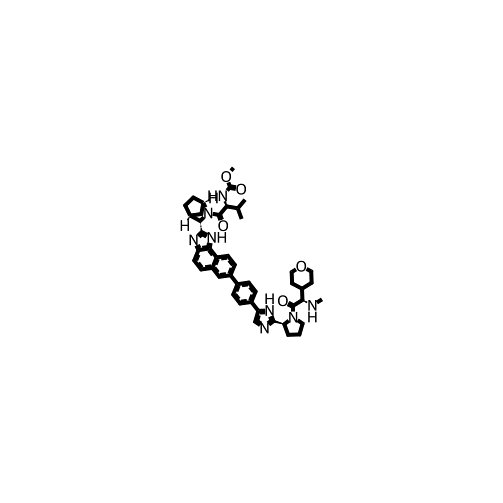 CN[C@H](C(=O)N1CCC[C@H]1c1ncc(-c2ccc(-c3ccc4c(ccc5nc([C@@H]6[C@H]7CC[C@H](C7)N6C(=O)[C@@H](NC(=O)OC)C(C)C)[nH]c54)c3)cc2)[nH]1)C1CCOCC1